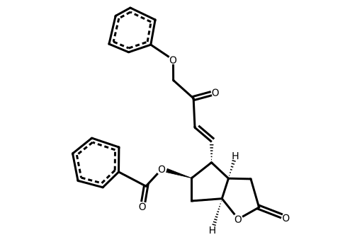 O=C(/C=C/[C@@H]1[C@H]2CC(=O)O[C@H]2C[C@H]1OC(=O)c1ccccc1)COc1ccccc1